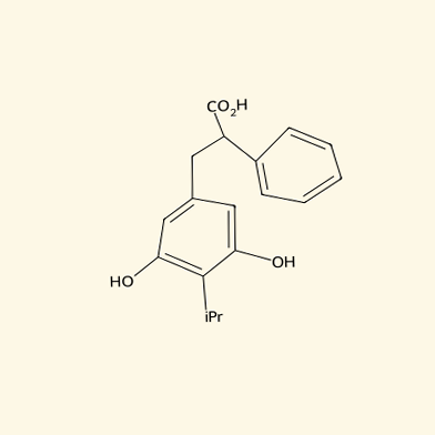 CC(C)c1c(O)cc(CC(C(=O)O)c2ccccc2)cc1O